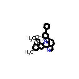 Cc1ccc2c(CC(C)(C)C)c3c(cc2c1)c1nccc2ccc4c5cc(-c6ccccc6)ccc5n3c4c21